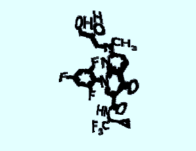 CN(C[C@H](O)CO)c1ccc2c(=O)c(C(=O)N[C@@H](C3CC3)C(F)(F)F)cn(-c3c(F)cc(F)cc3F)c2n1